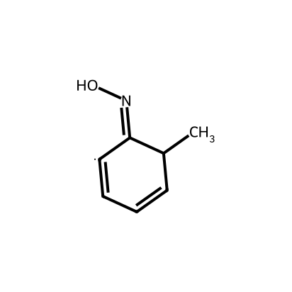 CC1C=CC=[C]C1=NO